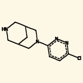 Clc1ccc(N2CC3CNCC(C3)C2)nn1